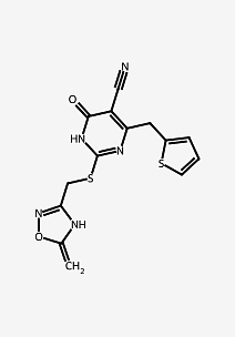 C=C1NC(CSc2nc(Cc3cccs3)c(C#N)c(=O)[nH]2)=NO1